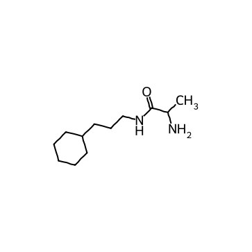 CC(N)C(=O)NCCCC1CCCCC1